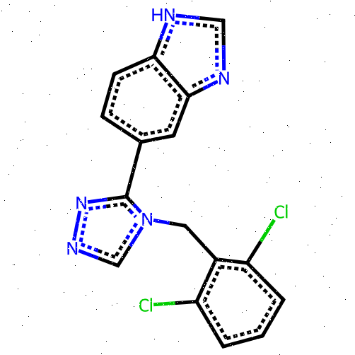 Clc1cccc(Cl)c1Cn1cnnc1-c1ccc2[nH]cnc2c1